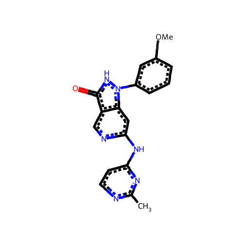 COc1cccc(-n2[nH]c(=O)c3cnc(Nc4ccnc(C)n4)cc32)c1